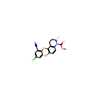 COC(=O)N1c2ccc(Br)c(Oc3ccc(Cl)cc3C#N)c2CC[C@@H]1C